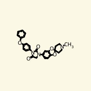 CN1CCC2(CC1)Oc1ccc(N3CC(=O)N(c4ccc(Oc5ccccc5)cc4)C3=O)cc1O2